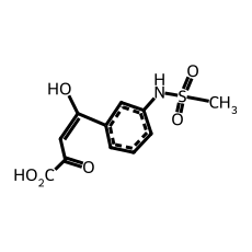 CS(=O)(=O)Nc1cccc(/C(O)=C\C(=O)C(=O)O)c1